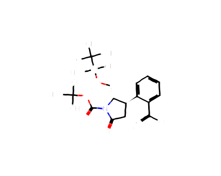 C=C(C)c1ccccc1[C@H]1CC(=O)N(C(=O)OC(C)(C)C)[C@@H]1CO[Si](C)(C)C(C)(C)C